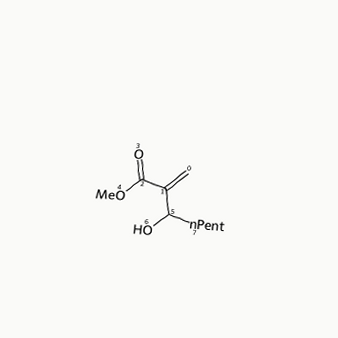 C=C(C(=O)OC)C(O)CCCCC